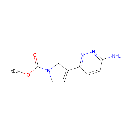 CC(C)(C)OC(=O)N1CC=C(c2ccc(N)nn2)C1